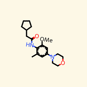 COc1cc(N2CCOCC2)cc(C)c1NC(=O)CC1CCCC1